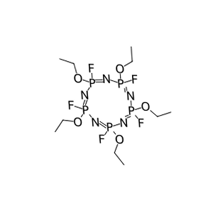 CCOP1(F)=NP(F)(OCC)=NP(F)(OCC)=NP(F)(OCC)=NP(F)(OCC)=N1